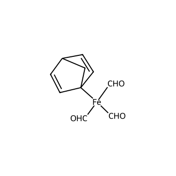 O=[CH][Fe]([CH]=O)([CH]=O)[C]12C=CC(C=C1)C2